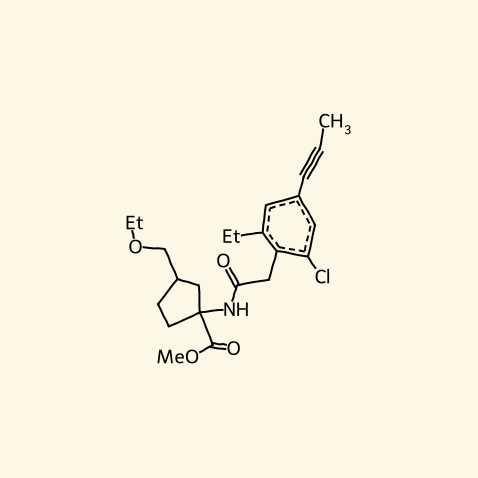 CC#Cc1cc(Cl)c(CC(=O)NC2(C(=O)OC)CCC(COCC)C2)c(CC)c1